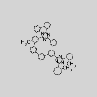 Cc1ccc(-c2nc(-c3ccccc3)nc(-c3ccccc3-c3ccccc3)n2)cc1-c1cccc(-c2cccc(-c3cccc(-c4nc(C5C=CC=CC5C)nc(C5C=CC=CCC5C)n4)c3)c2)c1